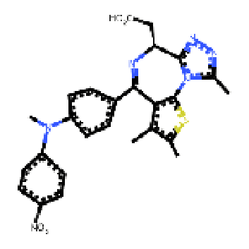 Cc1sc2c(c1C)C(c1ccc(N(C)c3ccc([N+](=O)[O-])cc3)cc1)=N[C@@H](CC(=O)O)c1nnc(C)n1-2